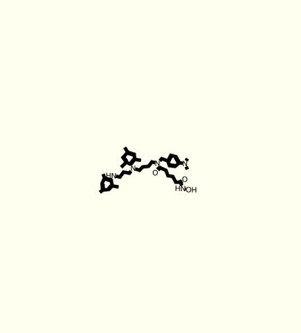 Cc1cc(C)c(NCCCN(CCCCN(Cc2ccc(N(C)C)cc2)C(=O)CCCCC(=O)NO)c2c(C)cc(C)cc2C)c(C)c1